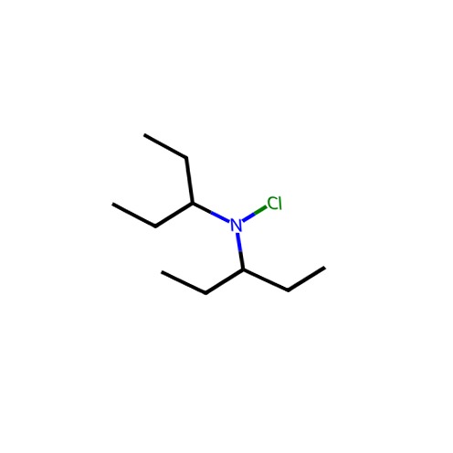 CCC(CC)N(Cl)C(CC)CC